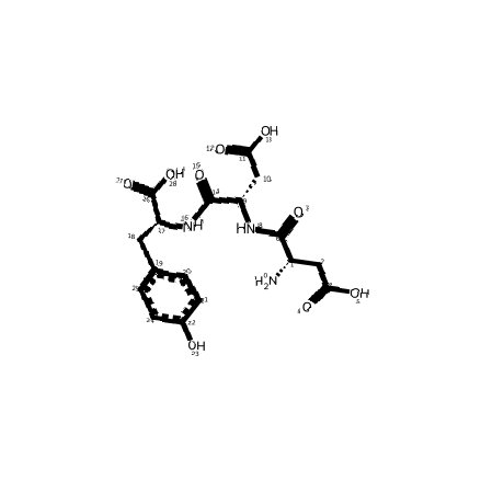 N[C@@H](CC(=O)O)C(=O)N[C@@H](CC(=O)O)C(=O)N[C@@H](Cc1ccc(O)cc1)C(=O)O